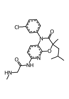 CNCC(=O)Nc1ccc2c(n1)OC(C)(CC(C)C)C(=O)N2c1cccc(Cl)c1